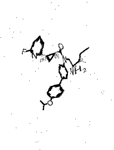 CC[C@H](C)[C@H](N)CN(C(=O)[C@H]1C[C@@H]1c1cccc(F)n1)c1ccc(-c2ccc(OC(C)C)cc2)cc1